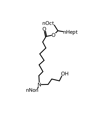 CCCCCCCCCN(CCCO)CCCCCCCC(=O)OC(CCCCCCC)CCCCCCCC